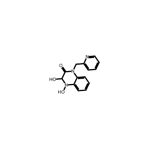 O=C1C(O)N(O)c2ccccc2N1Cc1ccccn1